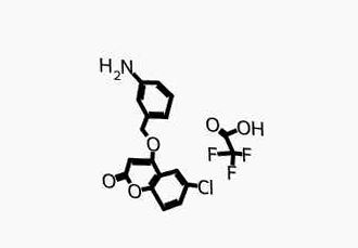 Nc1cccc(COc2cc(=O)oc3ccc(Cl)cc23)c1.O=C(O)C(F)(F)F